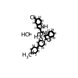 CN1CCC(C2CCN(C(=O)[C@@](C)(NC(=O)c3cc4cc(Cl)ccc4[nH]3)c3ccccc3)CC2)CC1.Cl